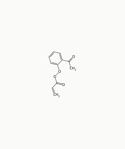 C=CC(=O)OOc1ccccc1C(C)=O